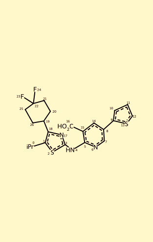 CC(C)c1sc(Nc2ncc(-c3cccs3)cc2C(=O)O)nc1C1CCC(F)(F)CC1